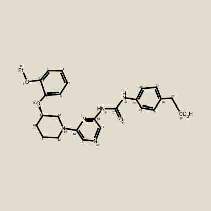 CCOc1ccccc1O[C@@H]1CCCN(c2cncc(NC(=O)Nc3ccc(CC(=O)O)cc3)n2)C1